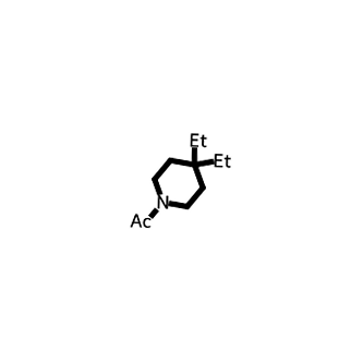 CCC1(CC)CCN(C(C)=O)CC1